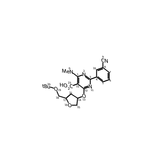 CNc1nc(-c2cccc(C#N)c2)nc(OC2COC(COC(C)(C)C)C2)c1C(=O)O